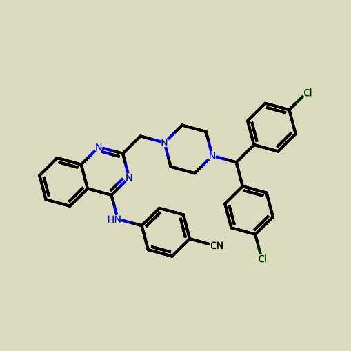 N#Cc1ccc(Nc2nc(CN3CCN(C(c4ccc(Cl)cc4)c4ccc(Cl)cc4)CC3)nc3ccccc23)cc1